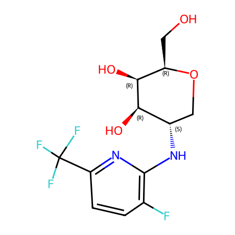 OC[C@H]1OC[C@H](Nc2nc(C(F)(F)F)ccc2F)[C@@H](O)[C@H]1O